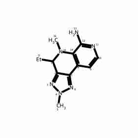 CCC1c2nn(C)nc2-c2ccnc(N)c2N1C